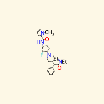 CCN(CC)C(=O)C(c1ccccc1)C1CCN(c2ccc(NC(=O)c3cccn3C)cc2F)CC1